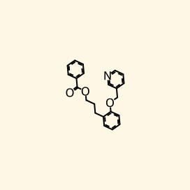 O=C(OCCCc1ccccc1OCc1cccnc1)c1ccccc1